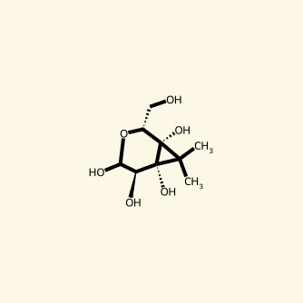 CC1(C)[C@]2(O)[C@@H](CO)OC(O)[C@H](O)[C@]12O